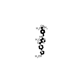 CO[C@H]1CCN(C2CCN(C(=O)c3ncnc(NCc4ccc(C(C)(C)C)cc4)c3C)CC2)C1